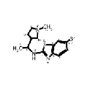 CC(Nc1nc2ccc(Br)cc2s1)C1CCN(C)C1